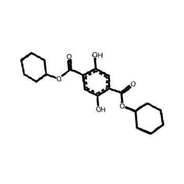 O=C(OC1CCCCC1)c1cc(O)c(C(=O)OC2CCCCC2)cc1O